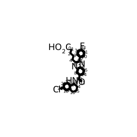 O=C(O)CCCCc1nc2cc(C(=O)N[C@H]3CCCc4cc(Cl)ccc43)ccc2nc1-c1ccc(F)cc1